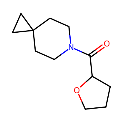 O=C(C1CCCO1)N1CCC2(CC1)CC2